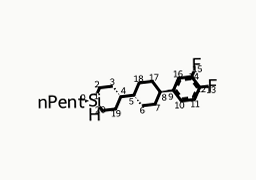 CCCCC[Si@H]1CC[C@H]([C@H]2CC[C@H](c3ccc(F)c(F)c3)CC2)CC1